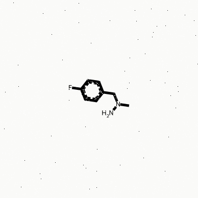 CN(N)Cc1ccc(F)cc1